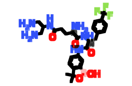 CC1(C)OB(O)c2cc(NC(=O)[C@@H](Cc3ccc(C(F)(F)F)cc3)NC(=O)[C@@H](N)CCC(=O)NC(CN)CN)ccc21